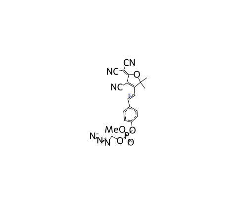 COP(=O)(OCN=[N+]=[N-])Oc1ccc(/C=C/C2=C(C#N)C(=C(C#N)C#N)OC2(C)C)cc1